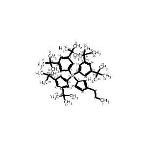 CCCC1=C[C]([Si](c2cc(C(C)(C)C)cc(C(C)(C)C)c2)(c2cc(C(C)(C)C)cc(C(C)(C)C)c2)c2cc(C(C)(C)C)cc(C(C)(C)C)c2)C=C1